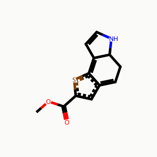 COC(=O)c1cc2c(s1)=C1C=CNC1CC=2